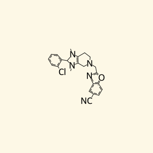 CN1C2=C(CN(Cc3nc4cc(C#N)ccc4o3)CC2)N(C)C1c1ccccc1Cl